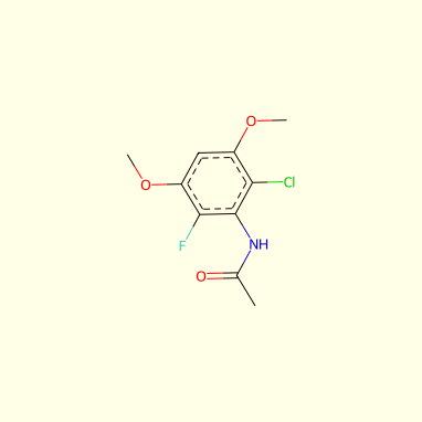 COc1cc(OC)c(Cl)c(NC(C)=O)c1F